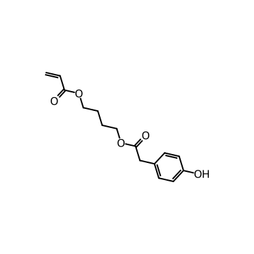 C=CC(=O)OCCCCOC(=O)Cc1ccc(O)cc1